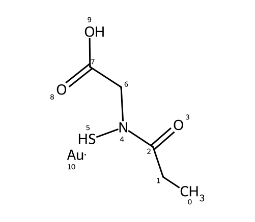 CCC(=O)N(S)CC(=O)O.[Au]